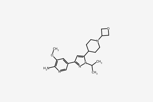 COc1cc(-c2cc(C3CCN(C4COC4)CC3)n(C(C)C)n2)cnc1N